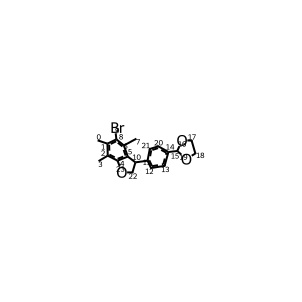 Cc1c(C)c2c(c(C)c1Br)C(c1ccc(C3OCCO3)cc1)CO2